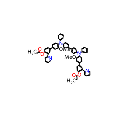 C=CC(=O)Oc1ccc(-c2ccc(N(c3ccccc3)c3ccc(-c4ccc(N(c5ccccc5)c5ccc(-c6ccc(OC(=O)C=C)c(-c7ccccn7)c6)cc5OC)cc4)cc3)c(OC)c2)cc1-c1ccccn1